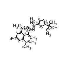 CC(C)c1cc(F)cc(C(C)C)c1C(C)C(=O)/N=S(\N)c1cnc(C(C)(C)O)s1